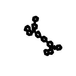 c1ccc(-c2ccc(N(c3ccc(-c4ccc(-c5ccc6c(c5)c5c7ccccc7ccc5n6-c5ccccc5)cc4)cc3)c3cccc4ccccc34)cc2)cc1